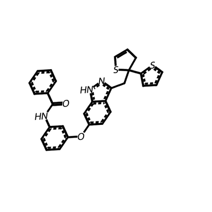 O=C(Nc1cccc(Oc2ccc3c(CC4(c5cccs5)CC=CS4)n[nH]c3c2)c1)c1ccccc1